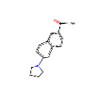 COC(=O)c1ccc2cc(N3CCCC3)ccc2c1